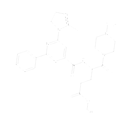 CCOC(=O)N1CCN(C(=O)C(CCC(=O)OC(C)(C)C)NC(=O)c2cc(N3CCN=C3C)nc(-c3ccccc3)n2)CC1